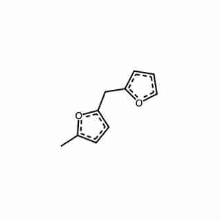 Cc1ccc(Cc2ccco2)o1